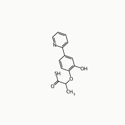 CC(Oc1ccc(-c2ccccn2)cc1O)C(=O)S